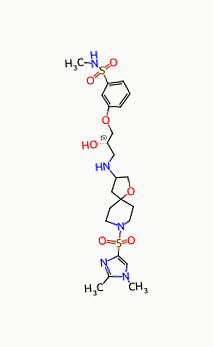 CNS(=O)(=O)c1cccc(OC[C@@H](O)CNC2COC3(CCN(S(=O)(=O)c4cn(C)c(C)n4)CC3)C2)c1